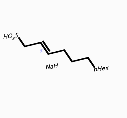 CCCCCCCCC/C=C/CS(=O)(=O)O.[NaH]